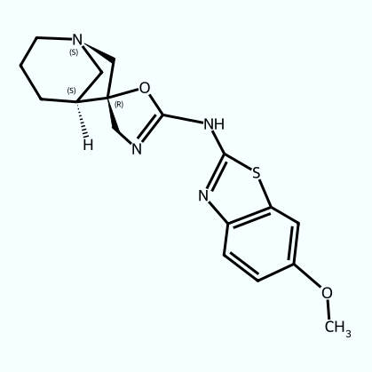 COc1ccc2nc(NC3=NC[C@@]4(C[N@]5CCC[C@H]4C5)O3)sc2c1